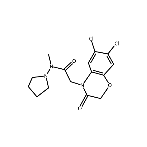 CN(C(=O)CN1C(=O)COc2cc(Cl)c(Cl)cc21)N1CCCC1